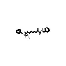 CS(=O)(=O)N(CCCCCCNC(=O)NCc1cccnc1)OCc1ccccc1